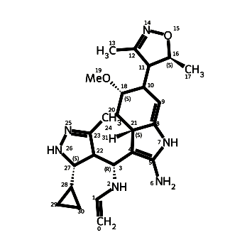 C=CN[C@@H](C1=C(N)NC2=CC(C3C(C)=NO[C@H]3C)[C@@H](OC)C[C@H]21)C1C(C)=NN[C@H]1C1CC1